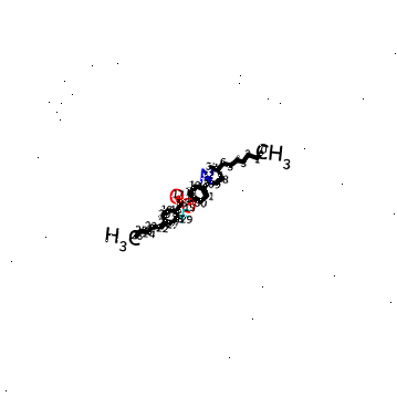 CCCCCCCc1ccc(-c2ccc(OC(=O)c3ccc(CCCCC)cc3F)cc2)nc1